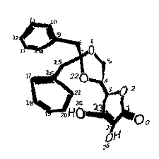 O=C1O[C@H]([C@@H]2COC(Cc3ccccc3)(Cc3ccccc3)O2)C(O)=C1O